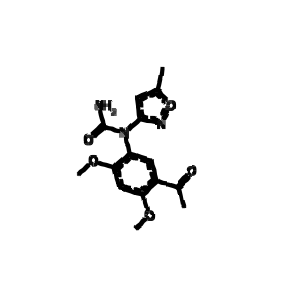 COc1cc(OC)c(N(C(N)=O)c2cc(C)on2)cc1C(C)=O